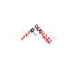 CCOC(C)=O.CCOC(C)=O.CCOC(C)=O.CCOC(C)=O.CCOC(C)=O.CCOC(C)=O.Cc1ccccc1.Cc1ccccc1.Cc1ccccc1.Cc1ccccc1